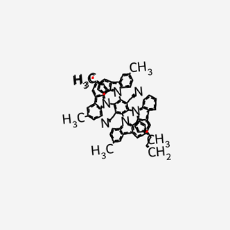 C=CCc1ccc2c(c1)c1ccccc1n2-c1c(C#N)c(-n2c3ccc(C)cc3c3cc(C)ccc32)c(-n2c3ccc(C)cc3c3cc(C)ccc32)c(C#N)c1-n1c2ccc(C)cc2c2cc(C)ccc21